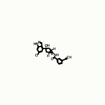 C#Cc1cccc(C(=O)N[C@H]2[C@@H]3C[C@@](O)(c4cc(Cl)cc5[nH]ncc45)C[C@@H]32)c1